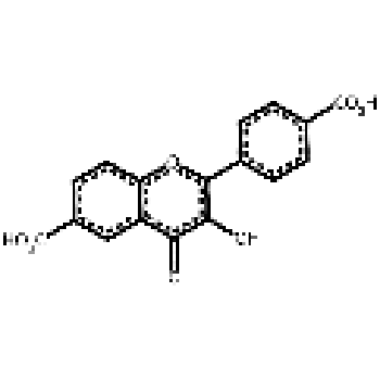 O=C(O)c1ccc(-c2oc3ccc(C(=O)O)cc3c(=O)c2O)cc1